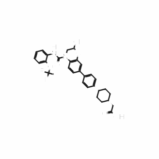 CC1CN(C(=O)Nc2ccccc2OC(F)(F)F)c2ccc(-c3ccc([C@H]4CC[C@H](CC(=O)O)CC4)cc3)cc2O1